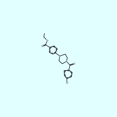 CCOC(=O)c1ccc(N2CCN(C(=O)c3ccc(Cl)cc3)CC2)cc1